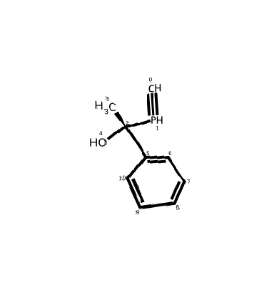 C#[PH][C@@](C)(O)c1ccccc1